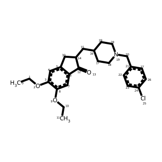 CCOc1cc2c(cc1OCC)C(=O)C(CC1CCN(Cc3ccc(Cl)cc3)CC1)C2